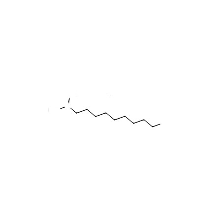 Br.CCCCCCCCCC[Si](C)C